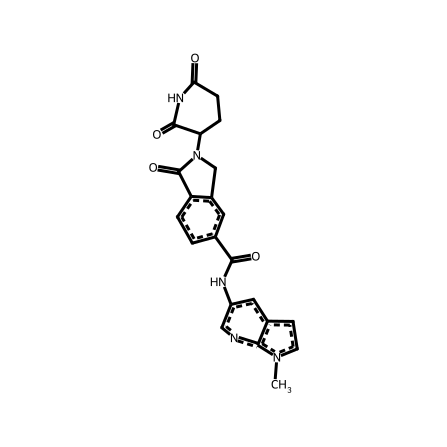 Cn1ccc2cc(NC(=O)c3ccc4c(c3)CN(C3CCC(=O)NC3=O)C4=O)cnc21